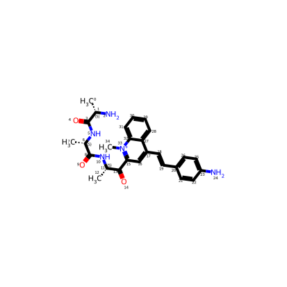 C[C@H](N)C(=O)N[C@@H](C)C(=O)N[C@@H](C)C(=O)c1cc(C=Cc2ccc(N)cc2)c2ccccc2[n+]1C